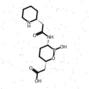 O=C(O)C[C@@H]1CC[C@H](NC(=O)C[C@H]2CCCCN2)B(O)O1